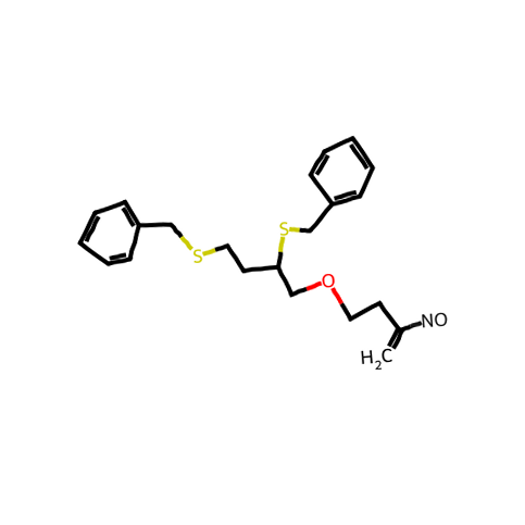 C=C(CCOCC(CCSCc1ccccc1)SCc1ccccc1)N=O